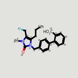 CC(C)CCc1c(CF)n(C(C)C)c(=O)n1Cc1ccc(-c2ccccc2C(=O)O)cc1